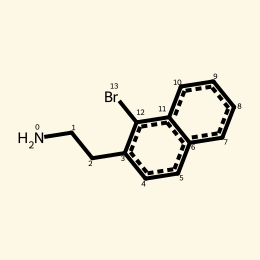 NCCc1ccc2ccccc2c1Br